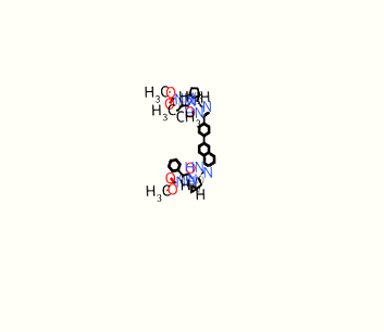 COC(=O)N[C@H](C(=O)N1[C@@H]2CC[C@@H](C2)[C@H]1c1ncc(-c2ccc(-c3ccc4c(ccc5nc([C@@H]6C[C@H]7C[C@H]7N6C(=O)[C@H](NC(=O)OC)c6ccccc6)[nH]c54)c3)cc2)[nH]1)C(C)C